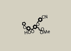 COC(=O)CCc1cc(C(=O)c2ccc(OC3CCCC3)cc2O)ccc1OCc1ccc(C#N)cc1